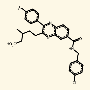 CC(CCc1nc2cc(C(=O)NCc3ccc(Cl)cc3)ccc2nc1-c1ccc(C(F)(F)F)cc1)CC(=O)O